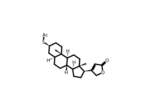 CC(=O)S[C@H]1CC[C@@]2(C)[C@@H](CC[C@@H]3[C@@H]2CC[C@]2(C)[C@@H](C4=CC(=O)OC4)CC[C@@H]32)C1